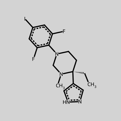 CC[C@@]1(c2cn[nH]c2)CCN(c2c(F)cc(I)cc2F)CN1C